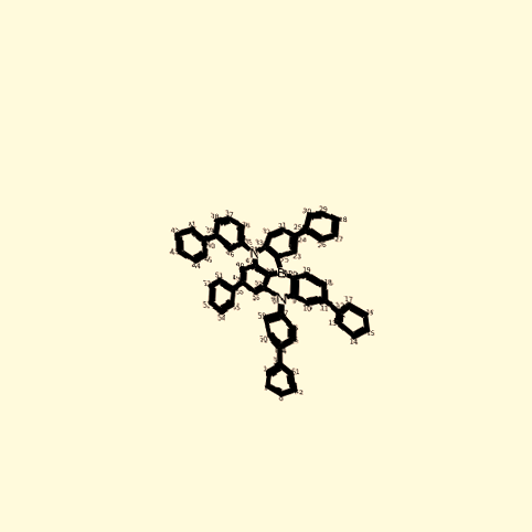 c1ccc(-c2ccc(N3c4cc(-c5ccccc5)ccc4B4c5cc(-c6ccccc6)ccc5N(c5cccc(-c6ccccc6)c5)c5cc(-c6ccccc6)cc3c54)cc2)cc1